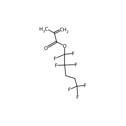 C=C(C)C(=O)OC(F)(F)C(F)(F)CCC(F)(F)F